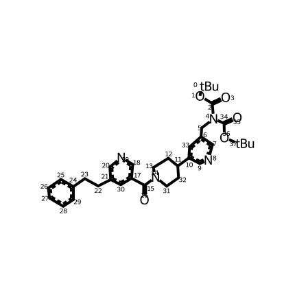 CC(C)(C)OC(=O)N(Cc1cncc(C2CCN(C(=O)c3cncc(CCc4ccccc4)c3)CC2)c1)C(=O)OC(C)(C)C